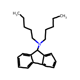 CCCCCN(CCCCC)C1c2ccccc2-c2ccccc21